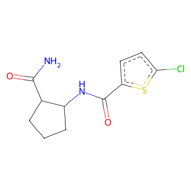 NC(=O)C1CCCC1NC(=O)c1ccc(Cl)s1